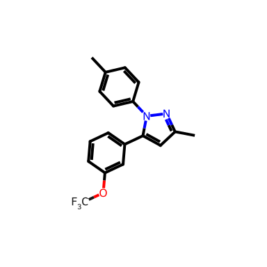 Cc1ccc(-n2nc(C)cc2-c2cccc(OC(F)(F)F)c2)cc1